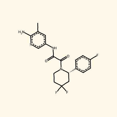 Cc1cc(NC(=O)C(=O)N2CCC(F)(F)C[C@H]2c2ccc(F)cc2)cnc1N